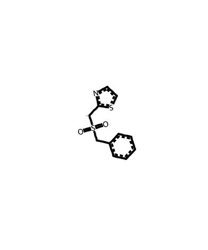 O=S(=O)([CH]c1nccs1)Cc1ccccc1